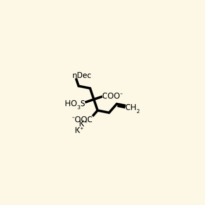 C=CCC(C(=O)[O-])C(CCCCCCCCCCCC)(C(=O)[O-])S(=O)(=O)O.[K+].[K+]